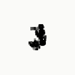 CC1(c2c[nH]c(-c3cc(Oc4c(F)c(F)c5[nH]ccc5c4S(C)(=O)=O)ccc3F)n2)CCOc2c(C3CCCC3C(=O)O)cccc21